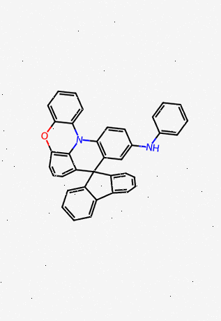 c1ccc(Nc2ccc3c(c2)C2(c4ccccc4-c4ccccc42)c2cccc4c2N3c2ccccc2O4)cc1